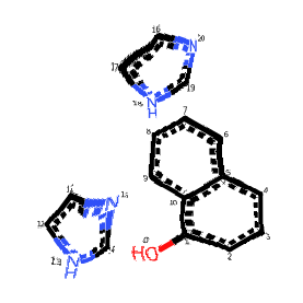 Oc1cccc2ccccc12.c1c[nH]cn1.c1c[nH]cn1